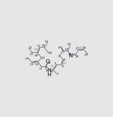 C=C(C/C=C\C=C(/C)NC(=O)C/C(=C/C)C/C(=C\C(C)C)CC)C(C)/N=C\C=C/C